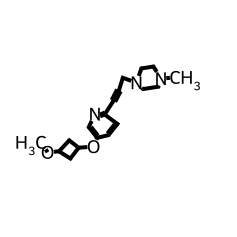 COC1CC(Oc2ccc(C#CCN3CCN(C)CC3)nc2)C1